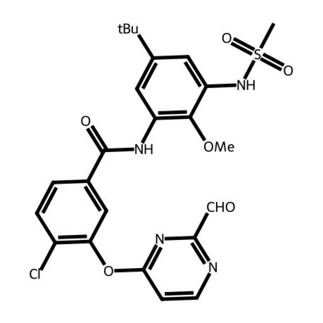 COc1c(NC(=O)c2ccc(Cl)c(Oc3ccnc(C=O)n3)c2)cc(C(C)(C)C)cc1NS(C)(=O)=O